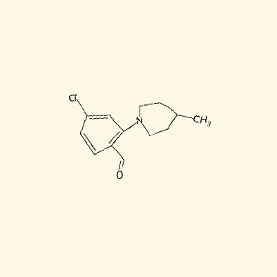 CC1CCN(c2cc(Cl)ccc2C=O)CC1